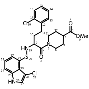 COC(=O)C1CCN(C(=O)C(CCc2ccccc2Cl)NSc2cccc3[nH]cc(Cl)c23)CC1